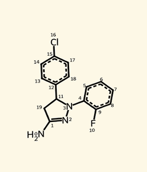 NC1=NN(c2ccccc2F)C(c2ccc(Cl)cc2)C1